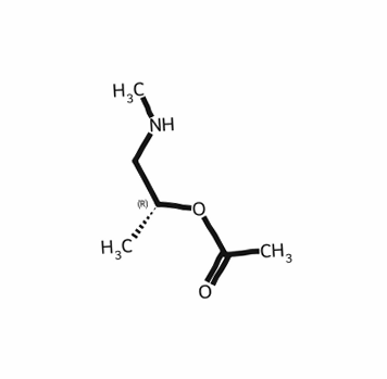 CNC[C@@H](C)OC(C)=O